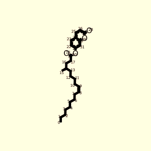 CCCCCCCC/C=C\CCCCC(C)CCC(=O)Oc1ccc2ccc(=O)oc2c1